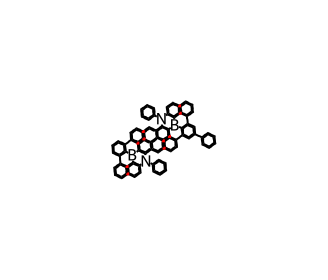 c1ccc(-c2cc(-c3ccccc3)c(B3c4ccccc4N(c4ccccc4)c4c3cc3ccc5c6c(cc7ccc4c3c75)B(c3c(-c4ccccc4)cccc3-c3ccccc3)c3ccccc3N6c3ccccc3)c(-c3ccccc3)c2)cc1